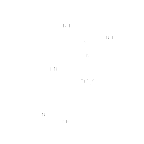 C=C(C(Nc1ccc2[nH]cnc2c1)c1c[nH]c2cc(C)ccc12)N(/N=N\N)C1CCCCC1C(=O)OCC